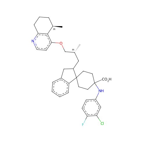 C[C@@H](COc1ccnc2c1[C@H](C)CCC2)CC1Cc2ccccc2C12CCC(Nc1ccc(F)c(Cl)c1)(C(=O)O)CC2